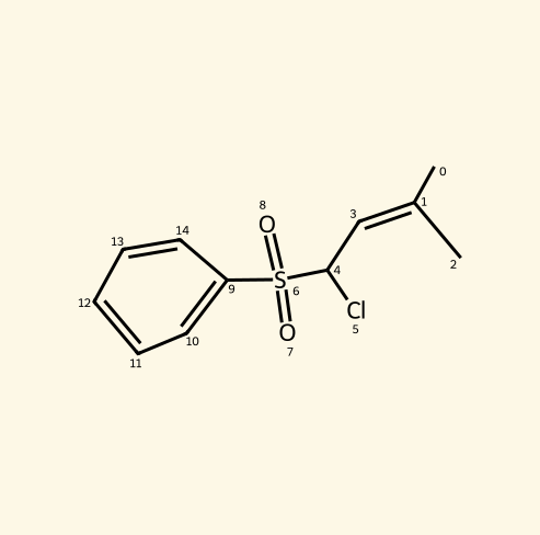 CC(C)=CC(Cl)S(=O)(=O)c1ccccc1